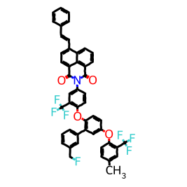 Cc1ccc(Oc2ccc(Oc3ccc(N4C(=O)c5cccc6c(C=Cc7ccccc7)ccc(c56)C4=O)cc3C(F)(F)F)c(-c3cccc(CF)c3)c2)c(C(F)(F)F)c1